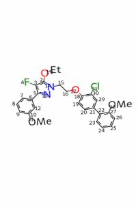 CCOc1c(F)c(-c2cccc(OC)c2)nn1CCOc1ccc(-c2ccccc2OC)cc1Cl